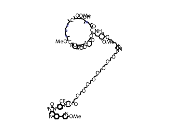 COc1ccc(-c2ccc3ncc4c(c3c2)n(-c2ccc(N3CCN(C(=O)CCOCCOCCOCCOCCOCCOCCOCCOCCn5cc(CCCCOC6CCC(CC(N)C7CC(=O)C(C)/C=C(\C)C(O)[C@@H](OC)C(=O)C(C)CC(C)/C=C/C=C/C=C(\C)C(OC)C[C@@H]8CC[C@@H](C)[C@@](O)(O8)C(=O)C(=O)N8CCCCC8C(=O)O7)C[C@H]6OC)nn5)CC3)c(C(F)(F)F)c2)c(=O)n4C)cn1